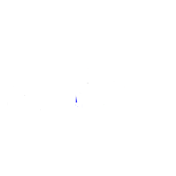 C=CCOC(=O)C(Br)C(=O)[C@@H](N)CC(=O)OC(C)(C)C